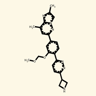 COCOc1cc(-c2cc(C)c3nc(C)cn3n2)ccc1-c1ccc(C2CNC2)nn1